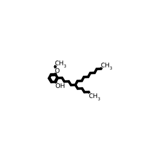 CCCCCCCCCC(CCCCC)CCCCc1c(O)cccc1OCC